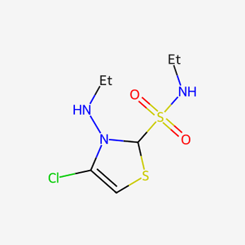 CCNN1C(Cl)=CSC1S(=O)(=O)NCC